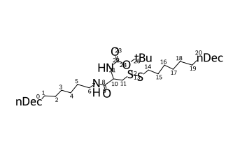 CCCCCCCCCCCCCCCCNC(=O)C(CSSCCCCCCCCCCCCCCCC)NC(=O)OC(C)(C)C